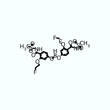 CS(=O)(=O)NC(=O)c1ccc(OBOc2ccc(C(=O)NS(C)(=O)=O)c(OCCF)c2)cc1OCCF